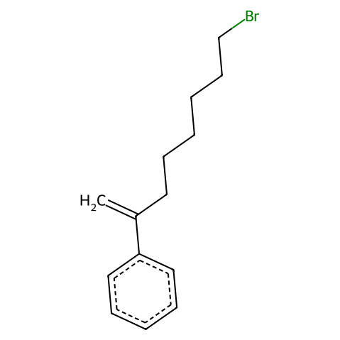 C=C(CCCCCCBr)c1ccccc1